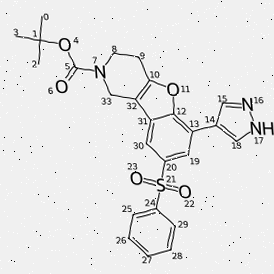 CC(C)(C)OC(=O)N1CCc2oc3c(-c4cn[nH]c4)cc(S(=O)(=O)c4ccccc4)cc3c2C1